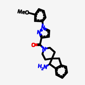 COc1cccc(-n2ccc(C(=O)N3CCC4(CC3)Cc3ccccc3[C@H]4N)n2)c1